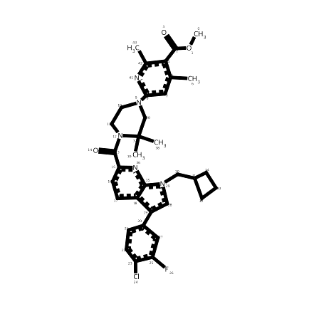 COC(=O)c1c(C)cc(N2CCN(C(=O)c3ccc4c(-c5ccc(Cl)c(F)c5)cn(CC5CCC5)c4n3)C(C)(C)C2)nc1C